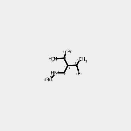 CCCCNCC(C(C)Br)C(N)CCC